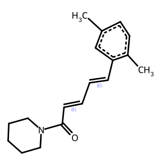 Cc1ccc(C)c(/C=C/C=C/C(=O)N2CCCCC2)c1